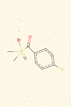 C=S(C)(C)(Br)C(=O)c1ccc(F)cc1